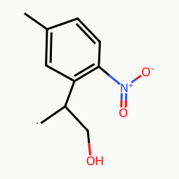 [CH2]C(CO)c1cc(C)ccc1[N+](=O)[O-]